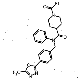 CCC(=O)N1CCC(C(=O)N(Cc2ccc(-c3nnc(C(F)(F)F)o3)cc2)c2ccccc2)CC1